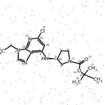 CCn1cnc2c(N[C@H]3CCN(C(=O)OC(C)(C)C)C3)cc(Cl)nc21